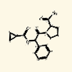 O=C(NC(C(=O)N1CCCC1C(=O)O)c1ccccc1)C1CC1